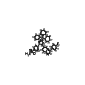 CS(=O)(=O)c1ccc(-c2nn(C(c3ccccc3)(c3ccccc3)C3C=CC=CC3)cc2-c2ccc3ncc(-c4ccc(F)cc4)n3c2)cc1